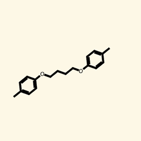 Cc1ccc(OCCCCOc2ccc(C)cc2)cc1